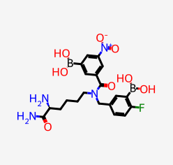 NC(=O)[C@@H](N)CCCCN(Cc1ccc(F)c(B(O)O)c1)C(=O)c1cc(B(O)O)cc([N+](=O)[O-])c1